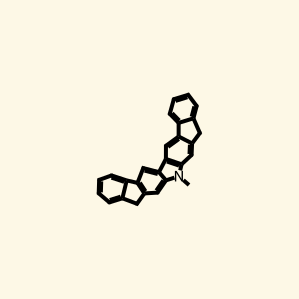 Cn1c2cc3c(cc2c2cc4c(cc21)Cc1ccccc1-4)-c1ccccc1C3